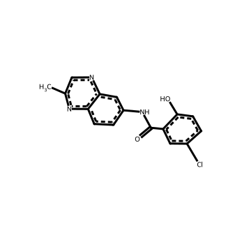 Cc1cnc2cc(NC(=O)c3cc(Cl)ccc3O)ccc2n1